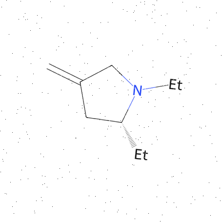 C=C1C[C@@H](CC)N(CC)C1